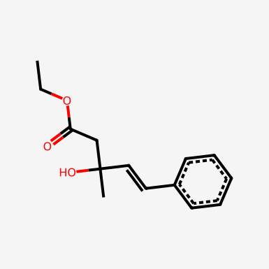 CCOC(=O)CC(C)(O)C=Cc1ccccc1